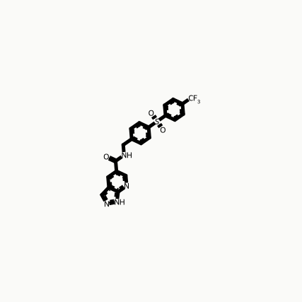 O=C(NCc1ccc(S(=O)(=O)c2ccc(C(F)(F)F)cc2)cc1)c1cnc2[nH]ncc2c1